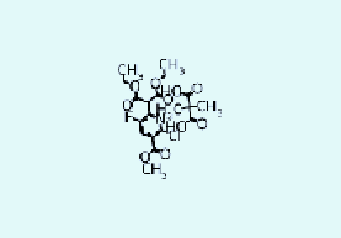 CC(C)(C(=O)O)C(=O)O.CCOC(=O)C(C(=O)OCC)c1nc(Cl)c(C(=O)OC)cc1F